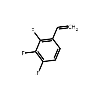 C=Cc1ccc(F)c(F)c1F